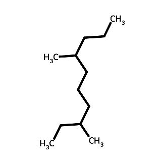 CCCC(C)CCCC(C)CC